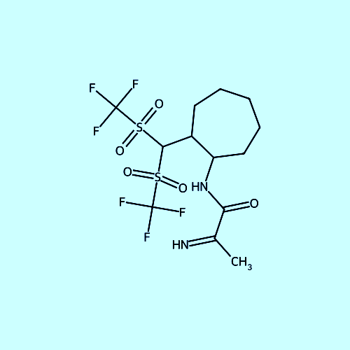 CC(=N)C(=O)NC1CCCCCC1C(S(=O)(=O)C(F)(F)F)S(=O)(=O)C(F)(F)F